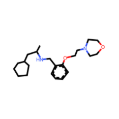 CC(CC1CCCCC1)NCc1ccccc1OCCN1CCOCC1